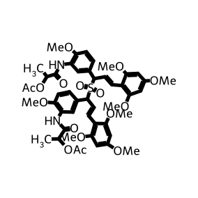 COc1cc(OC)c(C=CC(c2ccc(OC)c(NC(=O)C(C)OC(C)=O)c2)S(=O)(=O)C(C=Cc2c(OC)cc(OC)cc2OC)c2ccc(OC)c(NC(=O)C(C)OC(C)=O)c2)c(OC)c1